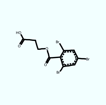 O=C(O)CCOC(=O)c1c(Br)cc(Br)cc1Br